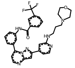 O=C(Nc1cccc(-c2ccnc3cc(-c4ccnc(NCCCN5CCOCC5)c4)nn23)c1)c1cccc(C(F)(F)F)c1